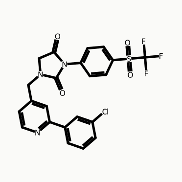 O=C1CN(Cc2ccnc(-c3cccc(Cl)c3)c2)C(=O)N1c1ccc(S(=O)(=O)C(F)(F)F)cc1